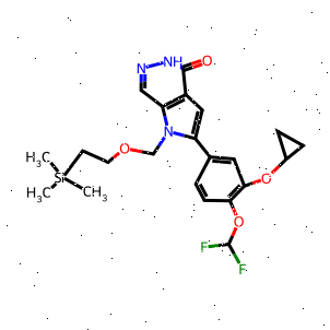 C[Si](C)(C)CCOCn1c(-c2ccc(OC(F)F)c(OC3CC3)c2)cc2c(=O)[nH]ncc21